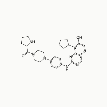 O=C(C1CCCN1)N1CCN(c2ccc(Nc3ncc4ccc(O)c(C5CCCC5)c4n3)cc2)CC1